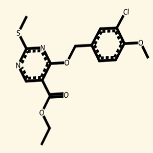 CCOC(=O)c1cnc(SC)nc1OCc1ccc(OC)c(Cl)c1